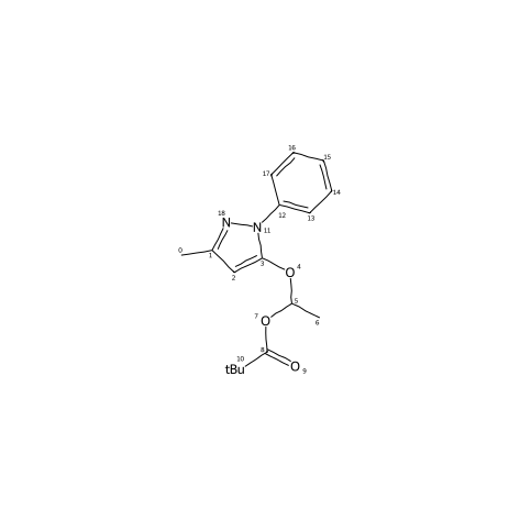 Cc1cc(OC(C)OC(=O)C(C)(C)C)n(-c2ccccc2)n1